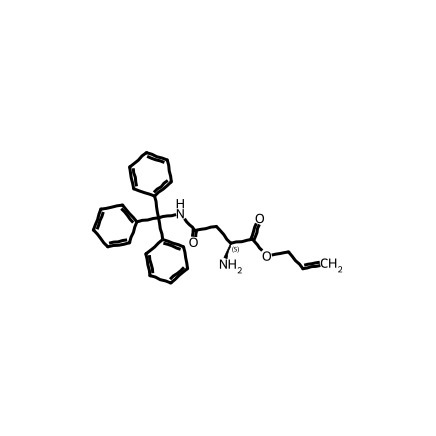 C=CCOC(=O)[C@@H](N)CC(=O)NC(c1ccccc1)(c1ccccc1)c1ccccc1